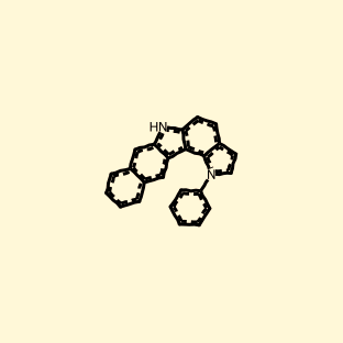 c1ccc(-n2ccc3ccc4[nH]c5cc6ccccc6cc5c4c32)cc1